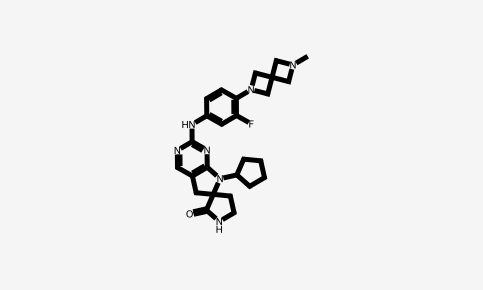 CN1CC2(C1)CN(c1ccc(Nc3ncc4c(n3)N(C3CCCC3)C3(CCNC3=O)C4)cc1F)C2